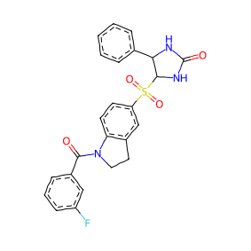 O=C1NC(c2ccccc2)C(S(=O)(=O)c2ccc3c(c2)CCN3C(=O)c2cccc(F)c2)N1